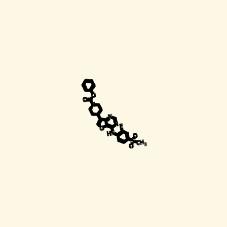 CS(=O)(=O)c1ccc(Nc2ncnc3c(C4CCN(C(=O)Oc5ccccc5)CC4)coc23)c(F)c1